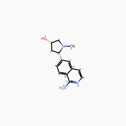 N#CN1C[C@@H](O)C[C@H]1c1ccc2c(N)nccc2c1